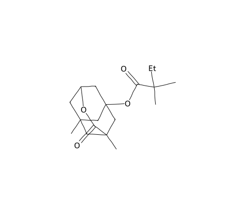 CCC(C)(C)C(=O)OC12CC3CC(C)(C1)CC(C)(C2)C(=O)O3